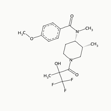 COc1ccc(C(=O)N(C)[C@H]2CCN(C(=O)C(C)(O)C(F)(F)F)C[C@H]2C)cc1